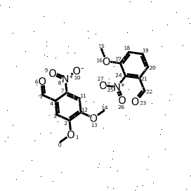 COc1cc(C=O)c([N+](=O)[O-])cc1OC.COc1cccc(C=O)c1[N+](=O)[O-]